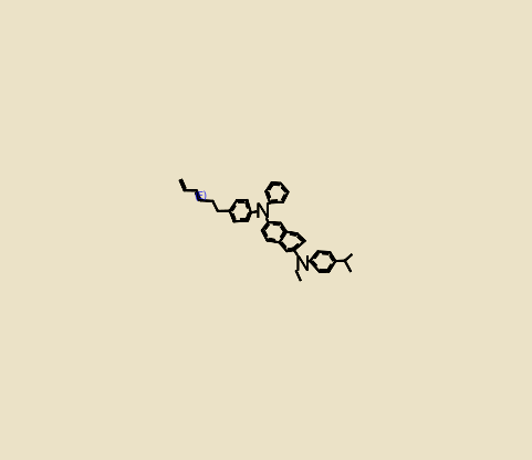 C=C/C=C/CCc1ccc(N(c2ccccc2)c2ccc3cc(N(CC)c4ccc(C(C)C)cc4)ccc3c2)cc1